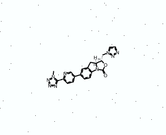 Cn1nnnc1-c1ccc(-c2ccc3c(c2)C[C@H]2[C@H](Cn4ccnn4)OC(=O)N32)cn1